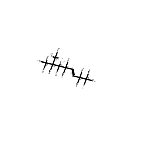 FC(F)(F)C(F)(F)/C=C/C(F)(F)C(F)(F)C(F)(C(F)(F)F)C(F)(F)F